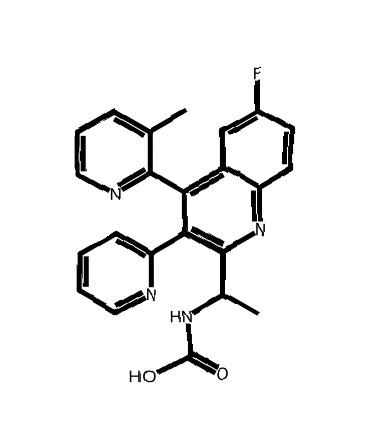 Cc1cccnc1-c1c(-c2ccccn2)c(C(C)NC(=O)O)nc2ccc(F)cc12